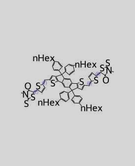 CCCCCCc1ccc(C2(c3ccc(CCCCCC)cc3)c3cc4c(cc3-c3sc(/C=c5\cc/c(=C6\SC(=S)N(C)C6=O)s5)cc32)C(c2ccc(CCCCCC)cc2)(c2ccc(CCCCCC)cc2)c2cc(/C=c3\cc/c(=C5\SC(=S)N(C)C5=O)s3)sc2-4)cc1